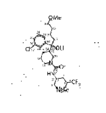 CNC[C@H](CC(C)C(F)(F)F)NC(=O)N1CCC[C@@H]([C@@](O)(CCCCOC)c2cccc(Cl)c2)C1